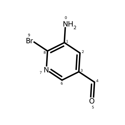 Nc1cc(C=O)cnc1Br